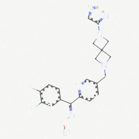 CCON=C(c1ccc(F)c(F)c1)c1ccc(CN2CC3(C2)CN(c2cnsn2)C3)cn1